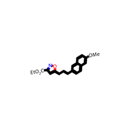 CCOC(=O)c1cc(CCCc2ccc3cc(OC)ccc3c2)on1